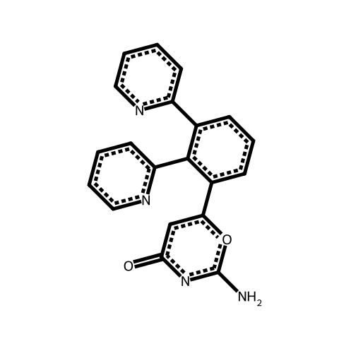 Nc1nc(=O)cc(-c2cccc(-c3ccccn3)c2-c2ccccn2)o1